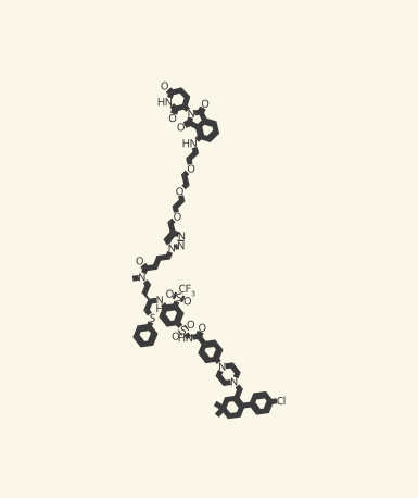 CN(CC[C@H](CSc1ccccc1)Nc1ccc(S(=O)(=O)NC(=O)c2ccc(N3CCN(CC4=C(c5ccc(Cl)cc5)CCC(C)(C)C4)CC3)cc2)cc1S(=O)(=O)C(F)(F)F)C(=O)CCCn1cc(COCCOCCOCCNc2cccc3c2C(=O)N(C2CCC(=O)NC2=O)C3=O)nn1